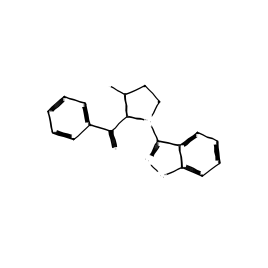 O=C(c1ccccc1)C1C(O)CCN1c1n[nH]c2ccccc12